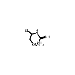 CCC(COC)NC(=N)N